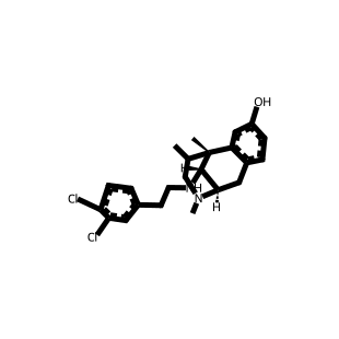 CC1CN(C)[C@@H]2Cc3ccc(O)cc3[C@]1(C)[C@H]2NCCc1ccc(Cl)c(Cl)c1